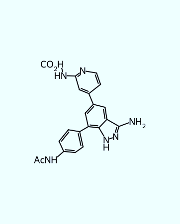 CC(=O)Nc1ccc(-c2cc(-c3ccnc(NC(=O)O)c3)cc3c(N)n[nH]c23)cc1